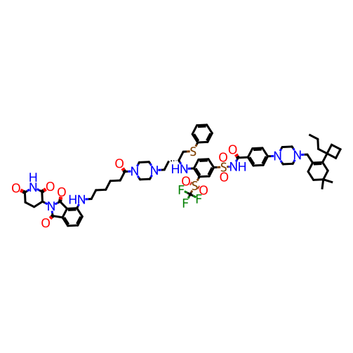 CCCC1(C2=C(CN3CCN(c4ccc(C(=O)NS(=O)(=O)c5ccc(N[C@H](CCN6CCN(C(=O)CCCCCNc7cccc8c7C(=O)N(C7CCC(=O)NC7=O)C8=O)CC6)CSc6ccccc6)c(S(=O)(=O)C(F)(F)F)c5)cc4)CC3)CCC(C)(C)C2)CCC1